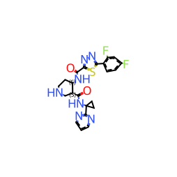 O=C(N[C@H]1CCNC[C@@H]1C(=O)NC1(c2ncccn2)CC1)c1nnc(-c2ccc(F)cc2F)s1